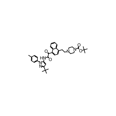 Cc1ccc(-n2nc(C(C)(C)C)cc2NC(=O)C(=O)c2ccc(CCN3CCN(C(=O)OC(C)(C)C)CC3)c3ccccc23)cc1